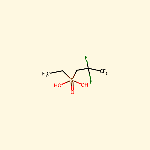 O=S(O)(O)(CC(F)(F)F)CC(F)(F)C(F)(F)F